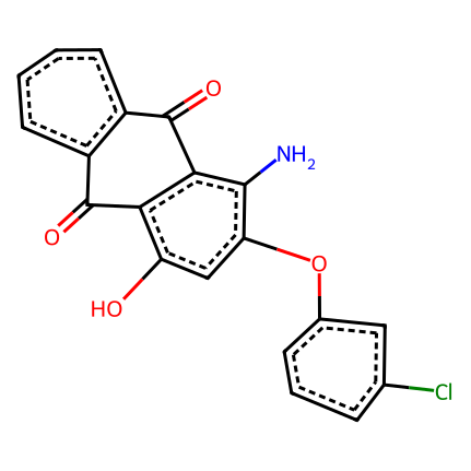 Nc1c(Oc2cccc(Cl)c2)cc(O)c2c1C(=O)c1ccccc1C2=O